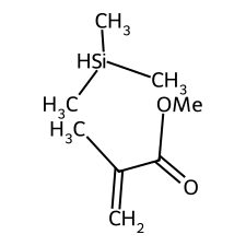 C=C(C)C(=O)OC.C[SiH](C)C